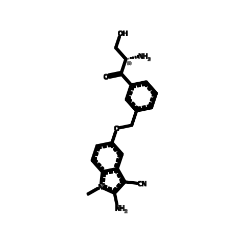 Cn1c(N)c(C#N)c2cc(OCc3cccc(C(=O)[C@@H](N)CO)c3)ccc21